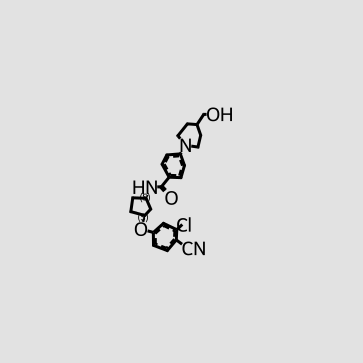 N#Cc1ccc(O[C@H]2CC[C@H](NC(=O)c3ccc(N4CCC(CO)CC4)cc3)C2)cc1Cl